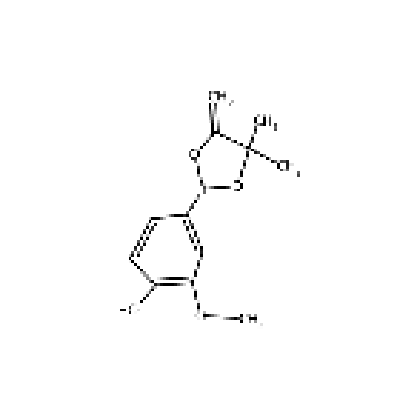 C=C1OB(c2ccc(O)c(OC)c2)OC1(C)C